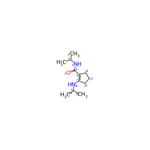 CC(C)NC(=O)C1=C(NC(C)C)CCC1